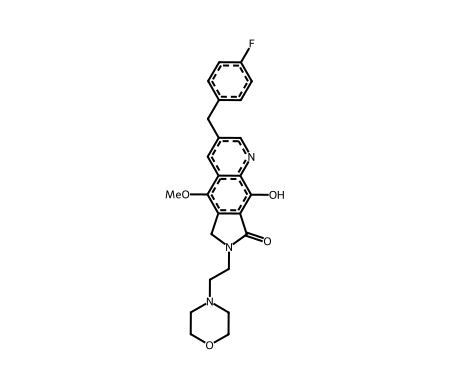 COc1c2c(c(O)c3ncc(Cc4ccc(F)cc4)cc13)C(=O)N(CCN1CCOCC1)C2